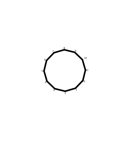 [CH]1C[CH]CCCCCCCCC1